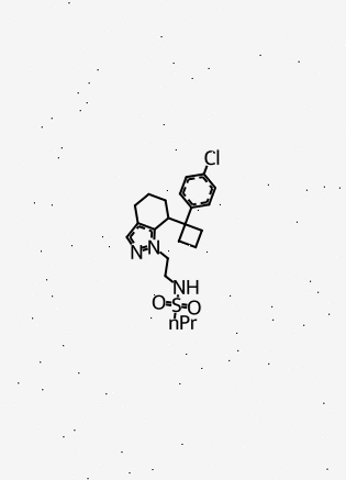 CCCS(=O)(=O)NCCn1ncc2c1C(C1(c3ccc(Cl)cc3)CCC1)CCC2